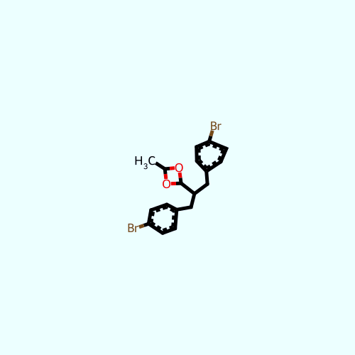 CC1OC(C(Cc2ccc(Br)cc2)Cc2ccc(Br)cc2)O1